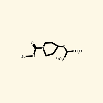 CCOC(=O)C(SC1CCN(C(=O)OC(C)(C)C)CC1)C(=O)OCC